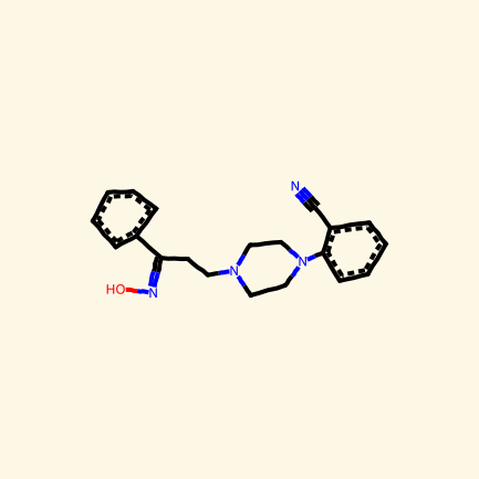 N#Cc1ccccc1N1CCN(CCC(=NO)c2ccccc2)CC1